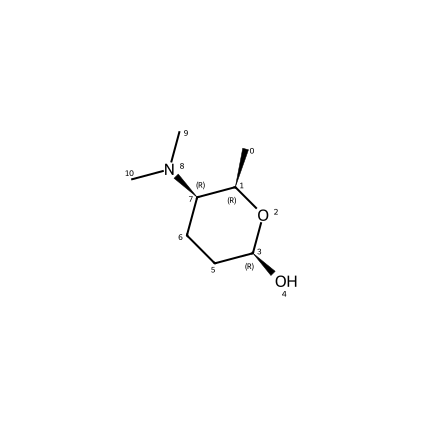 C[C@H]1O[C@@H](O)CC[C@H]1N(C)C